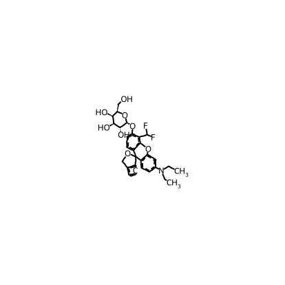 CCN(CC)c1ccc2c(c1)Oc1c(ccc(O[C@@H]3O[C@H](CO)[C@H](O)[C@H](O)[C@H]3O)c1C(F)F)C21OCc2ccccc21